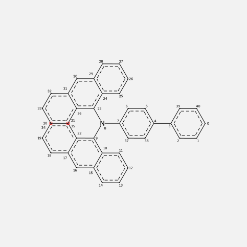 c1ccc(-c2ccc(N(c3c4ccccc4cc4ccccc34)c3c4ccccc4cc4ccccc34)cc2)cc1